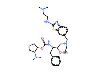 CC(C)CN(Cc1ccc2nc(NCCN(C)C)sc2c1)CC(O)C(Cc1ccccc1)NC(=O)OC1COCC1N(C)C